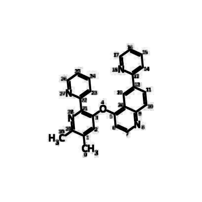 Cc1cc(Oc2ccnc3ccc(-c4ccccn4)cc23)c(-c2ccccn2)nc1C